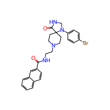 O=C(NCCN1CCC2(CC1)C(=O)NCN2c1ccc(Br)cc1)c1ccc2ccccc2c1